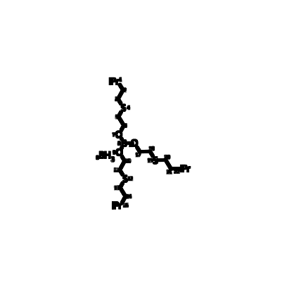 B.CC(C)CCSCCOB(OCCSCCC(C)C)OCCSCCC(C)C